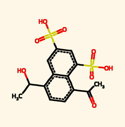 CC(=O)c1ccc(C(C)O)c2cc(S(=O)(=O)O)cc(S(=O)(=O)O)c12